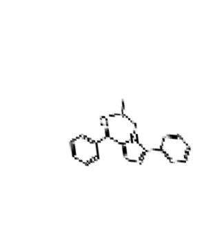 C[C](C)Cn1c(C(=O)c2ccccc2)ccc1-c1ccccc1